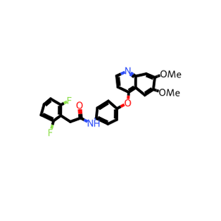 COc1cc2nccc(Oc3ccc(NC(=O)Cc4c(F)cccc4F)cc3)c2cc1OC